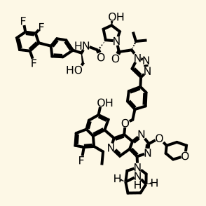 CCc1c(F)ccc2cc(O)cc(-c3ncc4c(N5C[C@H]6CC[C@@H](C5)N6)nc(OC5CCOCC5)nc4c3OCc3ccc(-c4cn([C@H](C(=O)N5C[C@H](O)C[C@H]5C(=O)N[C@@H](CO)c5ccc(-c6c(F)ccc(F)c6F)cc5)C(C)C)nn4)cc3)c12